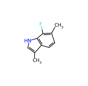 Cc1ccc2c(C)c[nH]c2c1F